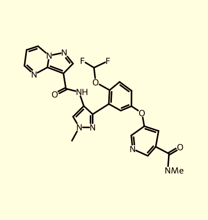 CNC(=O)c1cncc(Oc2ccc(OC(F)F)c(-c3nn(C)cc3NC(=O)c3cnn4cccnc34)c2)c1